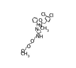 COCCOCCOCCN[C@H]1CCN(C[C@H](c2ccccc2)N(C)C(=O)Cc2ccc(Cl)c(Cl)c2)C1